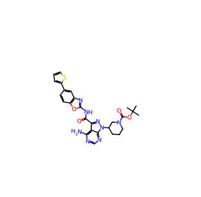 CC(C)(C)OC(=O)N1CCCC(n2nc(C(=O)Nc3nc4cc(-c5cccs5)ccc4o3)c3c(N)ncnc32)C1